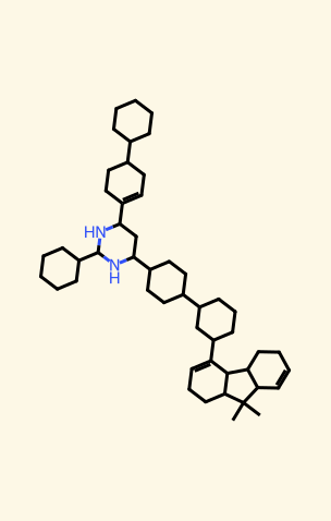 CC1(C)C2C=CCCC2C2C(C3CCCC(C4CCC(C5CC(C6=CCC(C7CCCCC7)CC6)NC(C6CCCCC6)N5)CC4)C3)=CCCC21